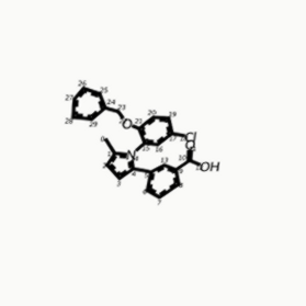 Cc1ccc(-c2cccc(C(=O)O)c2)n1-c1cc(Cl)ccc1OCc1ccccc1